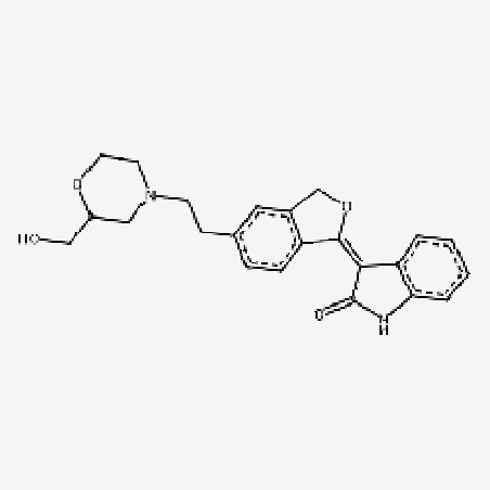 O=C1Nc2ccccc2C1=C1OCc2cc(CCN3CCOC(CO)C3)ccc21